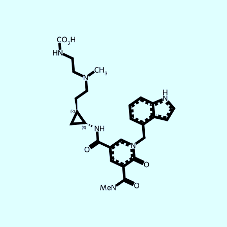 CNC(=O)c1cc(C(=O)N[C@@H]2C[C@H]2CCN(C)CCNC(=O)O)cn(Cc2cccc3[nH]ccc23)c1=O